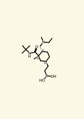 CCN(C)C[C@@H]1CC[C@@H](CCB(O)O)C[C@]1(C)C(=O)NC(C)(C)C